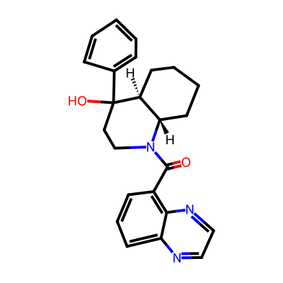 O=C(c1cccc2nccnc12)N1CCC(O)(c2ccccc2)[C@H]2CCCC[C@@H]21